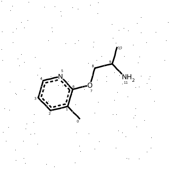 Cc1cccnc1OCC(C)N